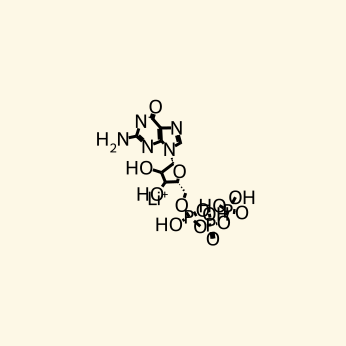 Nc1nc2c(ncn2[C@@H]2O[C@H](COP(=O)(O)OP(=O)(O)OP(=O)(O)O)C(O)C2O)c(=O)[n-]1.[Li+]